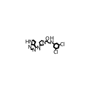 CN(c1ncnc2[nH]ccc12)[C@H]1CCN(C(=O)CNc2cc(Cl)cc(Cl)c2)C1